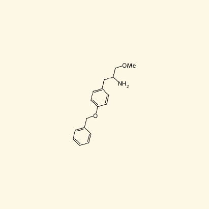 COCC(N)Cc1ccc(OCc2ccccc2)cc1